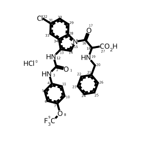 Cl.O=C(Nc1ccc(OC(F)(F)F)cc1)Nc1cn(C(=O)C(NCc2ccccc2)C(=O)O)c2ccc(Cl)cc12